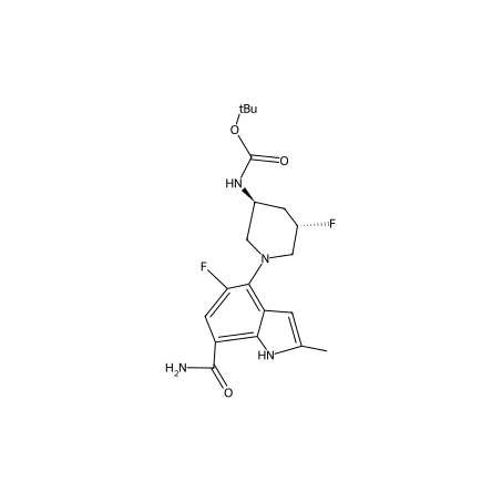 Cc1cc2c(N3C[C@@H](F)C[C@H](NC(=O)OC(C)(C)C)C3)c(F)cc(C(N)=O)c2[nH]1